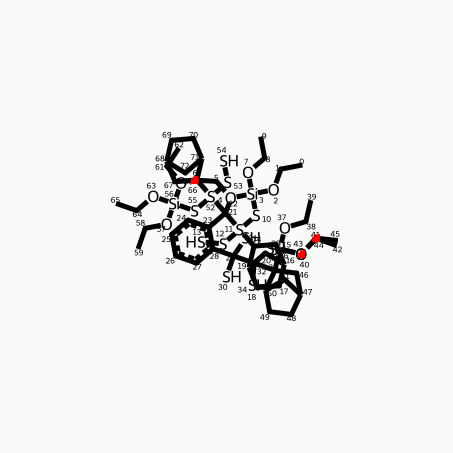 CCO[Si](OCC)(OCC)SS(SS)(C1CC2CCC1C2)C(C)(c1ccccc1C(S)(S)C(S)(S)C1([Si](OCC)(OCC)OCC)CC2CCC1C2)S(SS)(S[Si](OCC)(OCC)OCC)C1CC2CCC1C2